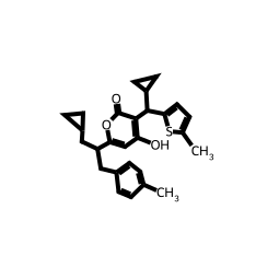 Cc1ccc(CC(CC2CC2)c2cc(O)c(C(c3ccc(C)s3)C3CC3)c(=O)o2)cc1